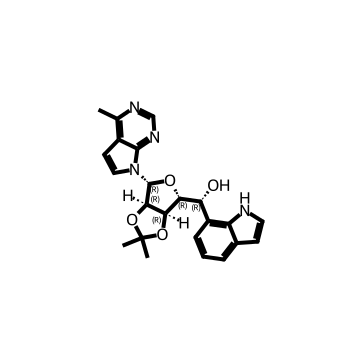 Cc1ncnc2c1ccn2[C@@H]1O[C@H]([C@H](O)c2cccc3cc[nH]c23)[C@H]2OC(C)(C)O[C@H]21